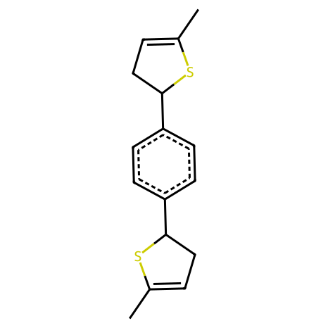 CC1=CCC(c2ccc(C3CC=C(C)S3)cc2)S1